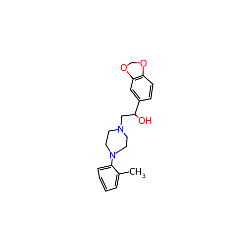 Cc1ccccc1N1CCN(CC(O)c2ccc3c(c2)OCO3)CC1